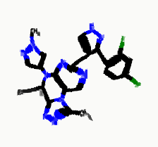 CC[C@@H]1c2nnc(C)n2-c2cnc(-c3c[nH]nc3-c3ccc(F)cc3F)nc2N1c1cnn(C)c1